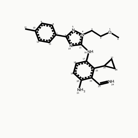 COCCn1nc(-c2ccc(C)cc2)nc1Nc1ccc(N)c(C=N)c1C1CC1